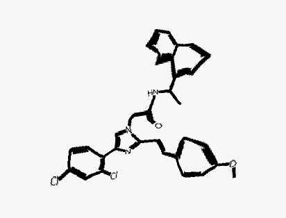 COc1ccc(C=Cc2nc(-c3ccc(Cl)cc3Cl)cn2CC(=O)NC(C)c2cccc3ccccc23)cc1